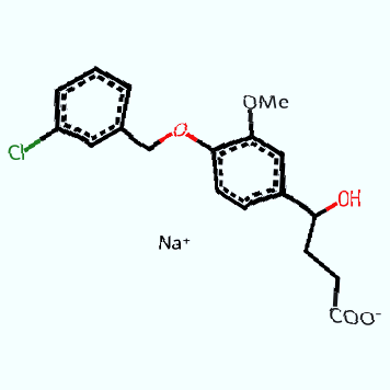 COc1cc(C(O)CCC(=O)[O-])ccc1OCc1cccc(Cl)c1.[Na+]